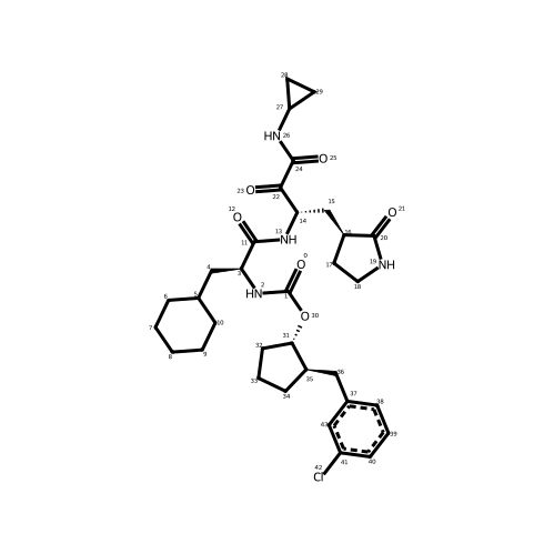 O=C(N[C@@H](CC1CCCCC1)C(=O)N[C@@H](C[C@@H]1CCNC1=O)C(=O)C(=O)NC1CC1)O[C@H]1CCC[C@@H]1Cc1cccc(Cl)c1